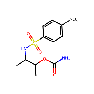 CC(NS(=O)(=O)c1ccc([N+](=O)[O-])cc1)C(C)OC(N)=O